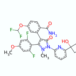 COc1cc(F)c(-c2c(-c3cc(OC(F)F)ccc3C(N)=O)c(=O)n(-c3cccc(C4(O)CCC4)n3)n2C)c(F)c1